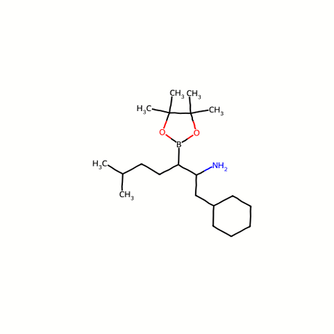 CC(C)CCC(B1OC(C)(C)C(C)(C)O1)C(N)CC1CCCCC1